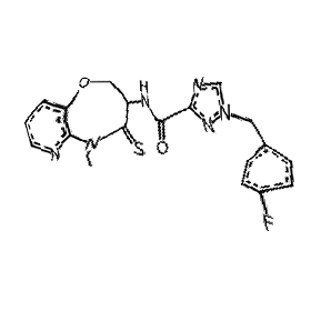 CN1C(=S)C(NC(=O)c2ncn(Cc3ccc(F)cc3)n2)COc2cccnc21